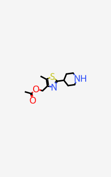 CC(=O)OCc1nc(C2CCNCC2)sc1C